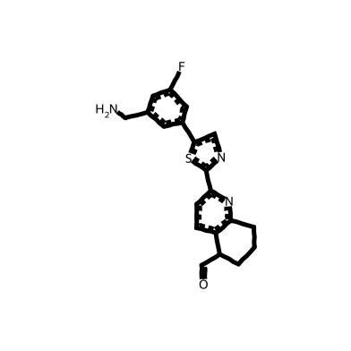 NCc1cc(F)cc(-c2cnc(-c3ccc4c(n3)CCCC4C=O)s2)c1